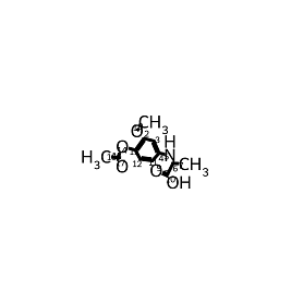 COc1cc(NC(C)C(=O)O)ccc1OC(C)=O